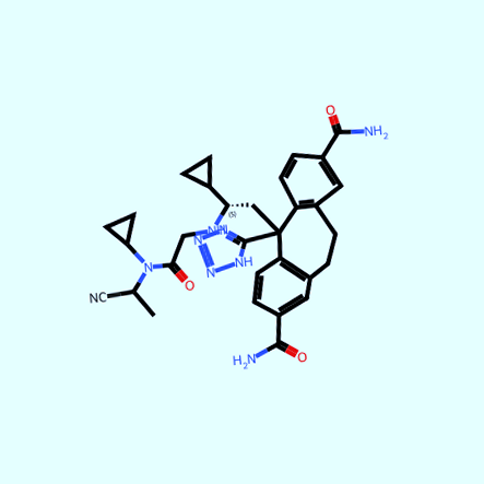 CC(C#N)N(C(=O)CN[C@@H](CC1(c2nnn[nH]2)c2ccc(C(N)=O)cc2CCc2cc(C(N)=O)ccc21)C1CC1)C1CC1